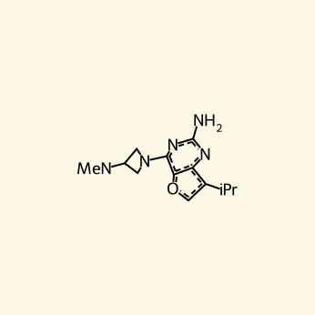 CNC1CN(c2nc(N)nc3c(C(C)C)coc23)C1